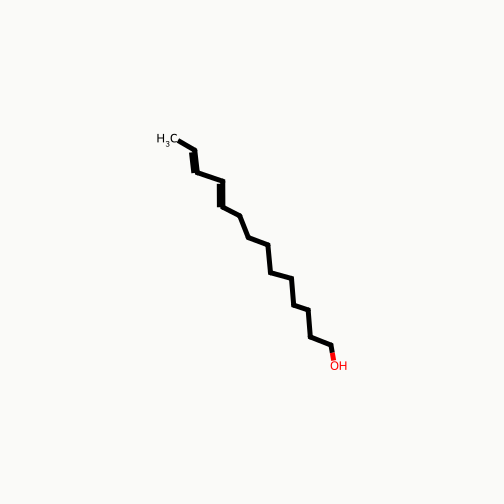 CC=CC=CCCCCCCCCCO